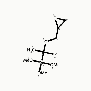 CO[Si](OC)(OC)C(C)(OCC1CO1)C(C)C